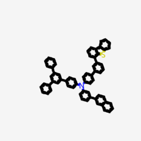 c1ccc(-c2cc(-c3ccccc3)cc(-c3ccc(N(c4ccc(-c5cccc(-c6cccc7c6sc6ccccc67)c5)cc4)c4cccc(-c5ccc6ccccc6c5)c4)cc3)c2)cc1